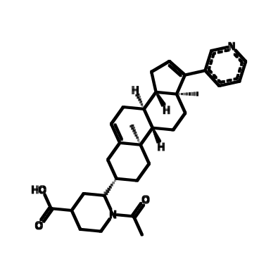 CC(=O)N1CCC(C(=O)O)CC1[C@H]1CC[C@@]2(C)C(=CC[C@@H]3[C@@H]2CC[C@]2(C)C(c4cccnc4)=CC[C@@H]32)C1